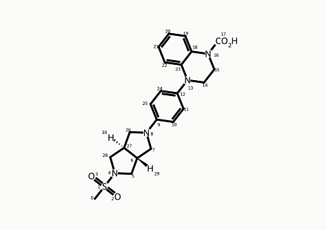 CS(=O)(=O)N1C[C@H]2CN(c3ccc(N4CCN(C(=O)O)c5ccccc54)cc3)C[C@@H]2C1